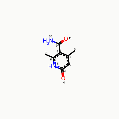 Cc1cc(=O)[nH]c(C)c1C(N)=O